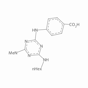 CCCCCCNc1nc(NC)nc(Nc2ccc(C(=O)O)cc2)n1